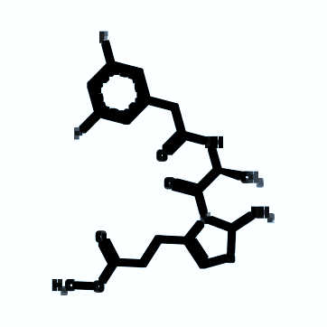 COC(=O)CCC1=CSC(N)N1C(=O)[C@H](C)NC(=O)Cc1cc(F)cc(F)c1